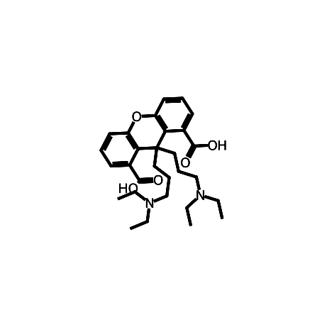 CCN(CC)CCCC1(CCCN(CC)CC)c2c(cccc2C(=O)O)Oc2cccc(C(=O)O)c21